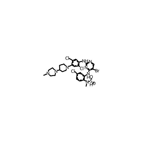 CN1CCN(C2CCN(c3cc(Cl)c(Nc4ncc(Br)c(Nc5cc(Cl)ccc5N(C)[SH](=O)=O)n4)cc3Cl)CC2)CC1